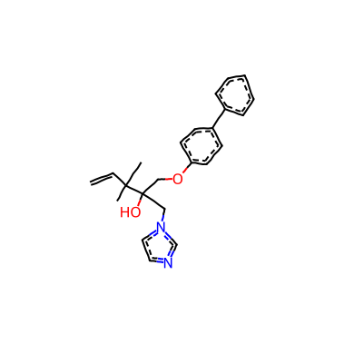 C=CC(C)(C)C(O)(COc1ccc(-c2ccccc2)cc1)Cn1ccnc1